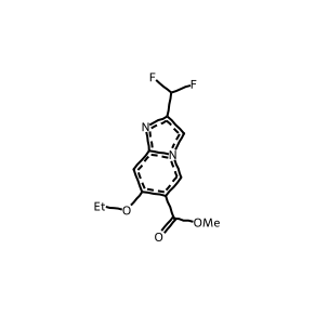 CCOc1cc2nc(C(F)F)cn2cc1C(=O)OC